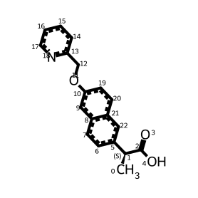 C[C@H](C(=O)O)c1ccc2cc(OCc3ccccn3)ccc2c1